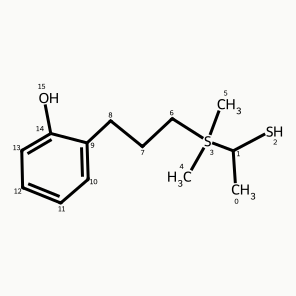 CC(S)S(C)(C)CCCc1ccccc1O